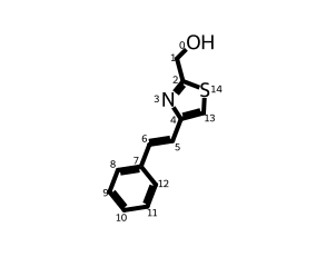 OCc1nc(C=Cc2ccccc2)cs1